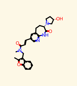 Cc1oc2ccccc2c1CN(C)C(=O)/C=C/c1cnc2c(c1)CC[C@H](N1CC[C@H](O)C1)C(=O)N2